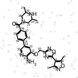 Cc1noc(C)c1-c1nc(COc2cc(-c3ccc(C(=O)N4CC(C)NC(C)C4)cc3)cnc2N)no1